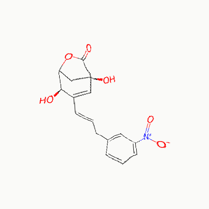 O=C1OC2C[C@@]1(O)C=C(/C=C/Cc1cccc([N+](=O)[O-])c1)[C@H]2O